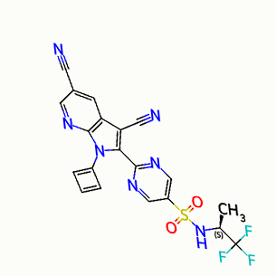 C[C@H](NS(=O)(=O)c1cnc(-c2c(C#N)c3cc(C#N)cnc3n2C2=CC=C2)nc1)C(F)(F)F